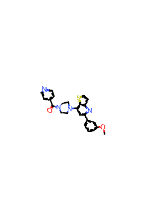 COc1cccc(-c2cc(N3CCN(C(=O)c4ccncc4)CC3)c3sccc3n2)c1